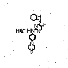 CN1CCN(c2ccc(Nc3ncc(F)c(NC4CCCCC4)n3)cc2)CC1.Cl.Cl